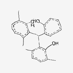 Cc1ccc(C)c(C(c2ccccc2O)c2c(C)ccc(C)c2O)c1O